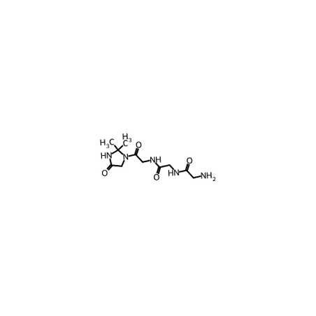 CC1(C)NC(=O)CN1C(=O)CNC(=O)CNC(=O)CN